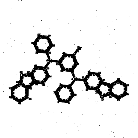 Brc1cc(N(c2ccccc2)c2ccc3c(c2)oc2ccccc23)cc(N(c2ccccc2)c2ccc3c(c2)oc2ccccc23)c1